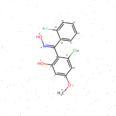 COc1cc(O)c(C(=NO)c2ccccc2F)c(Cl)c1